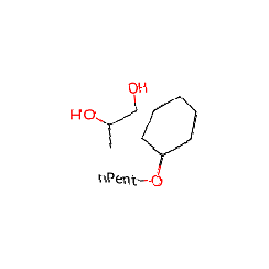 CC(O)CO.CCCCCOC1CCCCC1